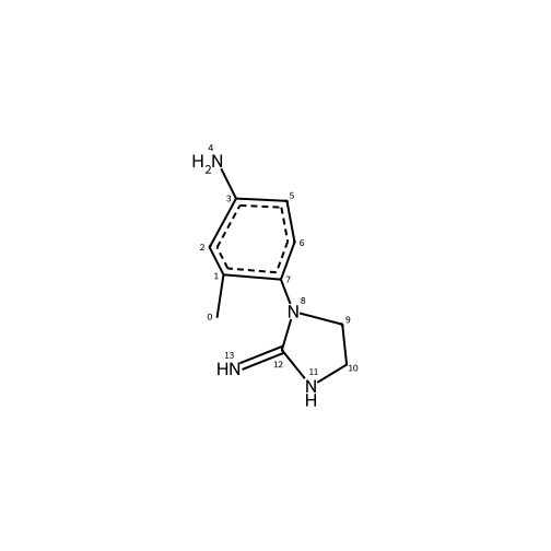 Cc1cc(N)ccc1N1CCNC1=N